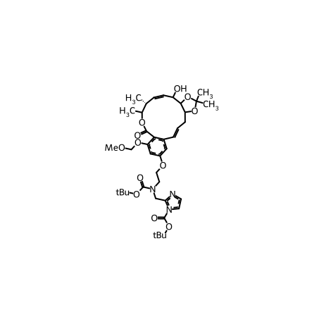 COCOc1cc(OCCN(Cc2nccn2C(=O)OC(C)(C)C)C(=O)OC(C)(C)C)cc2c1C(=O)OC(C)[C@H](C)/C=C\C(O)C1OC(C)(C)OC1C/C=C/2